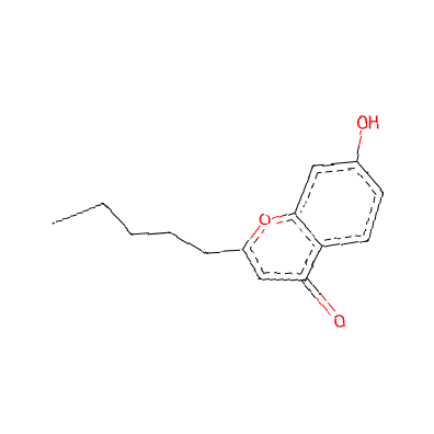 CCCCCc1cc(=O)c2ccc(O)cc2o1